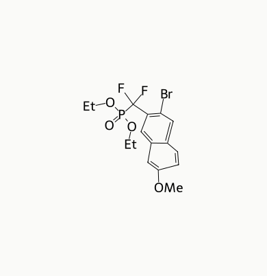 CCOP(=O)(OCC)C(F)(F)c1cc2cc(OC)ccc2cc1Br